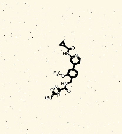 CC(C)(C)c1nc(C(=O)NCc2ccc(-c3ccnc(NC(=O)C4CC4)c3)cc2OC(F)(F)F)no1